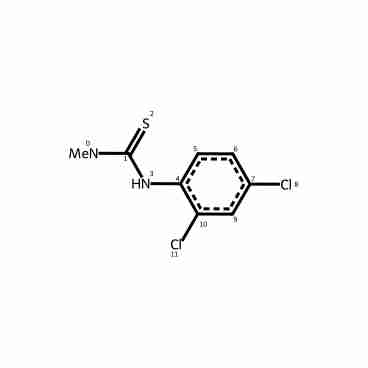 CNC(=S)Nc1ccc(Cl)cc1Cl